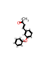 CC(=O)/C=C/c1cccc(Oc2ccccc2)c1